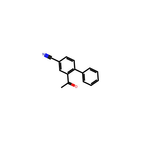 CC(=O)c1cc(C#N)ccc1-c1ccccc1